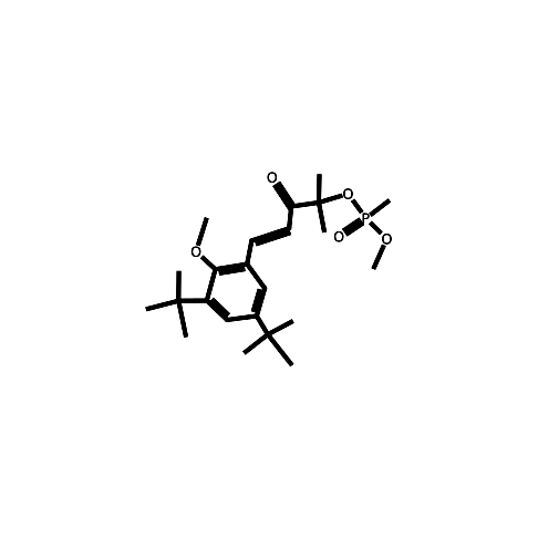 COc1c(C=CC(=O)C(C)(C)OP(C)(=O)OC)cc(C(C)(C)C)cc1C(C)(C)C